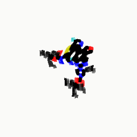 C[C@@H]1CN(C(=O)OC(C)(C)C)CCN1c1ncc2c3c(c(-c4ncc(F)c5sc(NC(=O)OC(C)(C)C)c(C#N)c45)c(F)c2n1)COC3